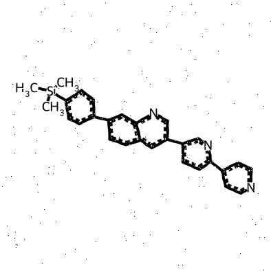 C[Si](C)(C)c1ccc(-c2ccc3cc(-c4ccc(-c5ccncc5)nc4)cnc3c2)cc1